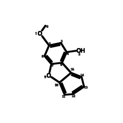 COc1cc(O)c2c(c1)oc1ccccc12